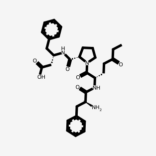 CCC(=O)CC[C@H](NC(=O)[C@@H](N)Cc1ccccc1)C(=O)N1CCC[C@H]1C(=O)N[C@H](CC(=O)O)Cc1ccccc1